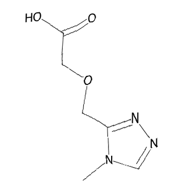 Cn1cnnc1COCC(=O)O